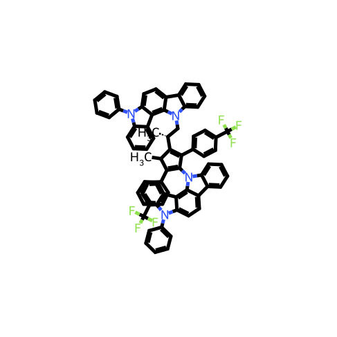 CC1C(c2ccc(C(F)(F)F)cc2)=C(n2c3ccccc3c3ccc4c(c5ccccc5n4-c4ccccc4)c32)C(c2ccc(C(F)(F)F)cc2)=C1[C@H](C)Cn1c2ccccc2c2ccc3c(c4ccccc4n3-c3ccccc3)c21